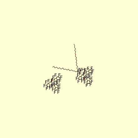 CCCCCCCCCCCCCCCCCc1nc[nH]c1CCCCCCCCCCCCCCCCC.Fc1c(F)c(F)c2c(F)c(B(c3c(F)c(F)c4c(F)c(F)c(F)c(F)c4c3F)c3c(F)c(F)c4c(F)c(F)c(F)c(F)c4c3F)c(F)c(F)c2c1F.Fc1c(F)c(F)c2c(F)c(B(c3c(F)c(F)c4c(F)c(F)c(F)c(F)c4c3F)c3c(F)c(F)c4c(F)c(F)c(F)c(F)c4c3F)c(F)c(F)c2c1F